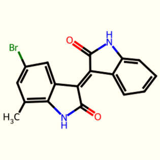 Cc1cc(Br)cc2c1NC(=O)C2=C1C(=O)Nc2ccccc21